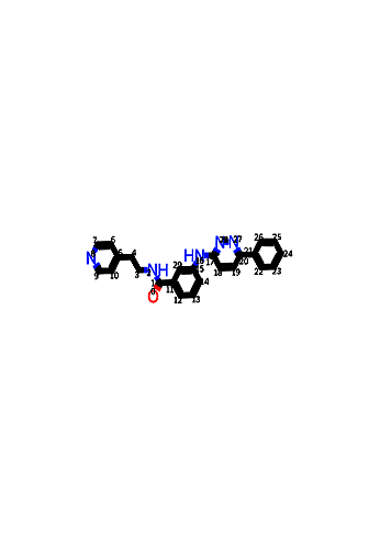 O=C(NCCc1ccncc1)c1cccc(Nc2ccc(-c3ccccc3)nn2)c1